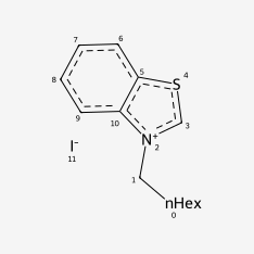 CCCCCCC[n+]1csc2ccccc21.[I-]